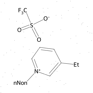 CCCCCCCCC[n+]1cccc(CC)c1.O=S(=O)([O-])C(F)(F)F